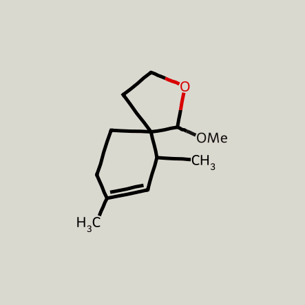 COC1OCCC12CCC(C)=CC2C